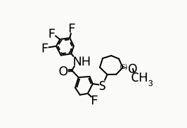 CO[C@H]1CCCCC(SC2=CC(C(=O)Nc3cc(F)c(F)c(F)c3)=CCC2F)C1